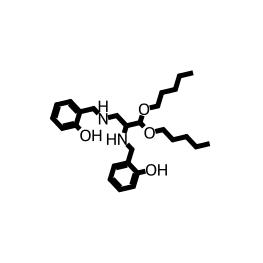 CCCCCOC(OCCCCC)C(CNCc1ccccc1O)NCc1ccccc1O